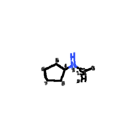 C[SiH](C)NC1CCCC1